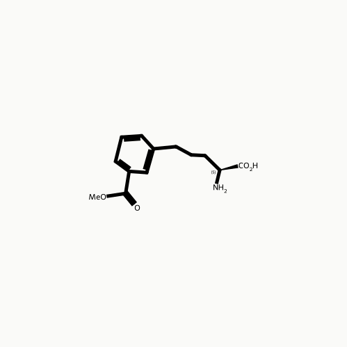 COC(=O)c1cccc(CCC[C@H](N)C(=O)O)c1